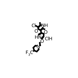 Cc1[nH]c(C)c(-c2c[nH]c(OCCN3CCC(C(F)(F)F)CC3)cc2=O)c(=O)c1Cl.Cl